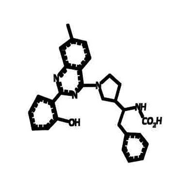 Cc1ccc2c(N3CCC(C(Cc4ccccc4)NC(=O)O)C3)nc(-c3ccccc3O)nc2c1